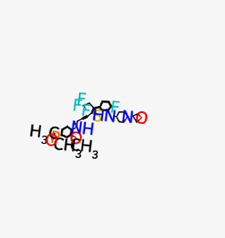 COc1cc(P(C)(C)=O)ccc1NCC#Cc1sc2c(NC3CCN(C4COC4)CC3F)cccc2c1CC(F)(F)F